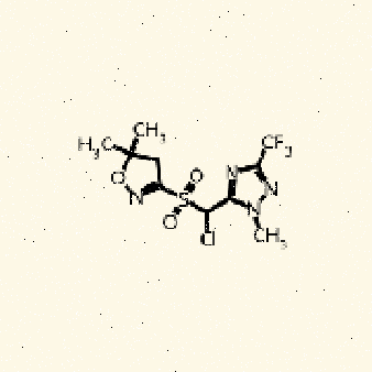 Cn1nc(C(F)(F)F)nc1C(Cl)S(=O)(=O)C1=NOC(C)(C)C1